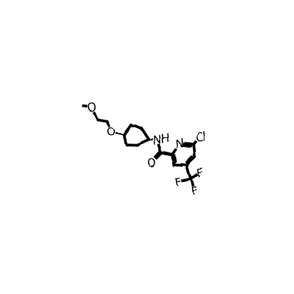 COCCO[C@H]1CC[C@H](NC(=O)c2cc(C(F)(F)F)cc(Cl)n2)CC1